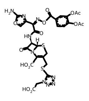 CC(=O)Oc1ccc(C(=O)O/N=C(\C(=O)N[C@@H]2C(=O)N3C(C(=O)O)=C(CSc4nnnn4CC(=O)O)CS[C@@H]23)c2coc(N)n2)cc1OC(C)=O